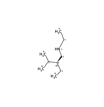 CCNC[C@@H](CC)C(C)C